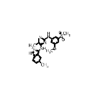 COc1cc(Nc2ncc(C)c(Nc3n[nH]c4ccc(C)cc34)n2)cc(S(C)(=O)=O)c1